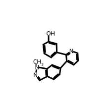 Cn1ncc2ccc(-c3cccnc3-c3cccc(O)c3)cc21